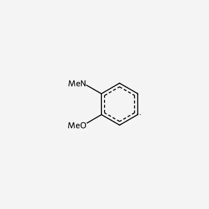 CNc1cc[c]cc1OC